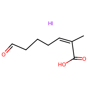 CC(=CCCCC=O)C(=O)O.I